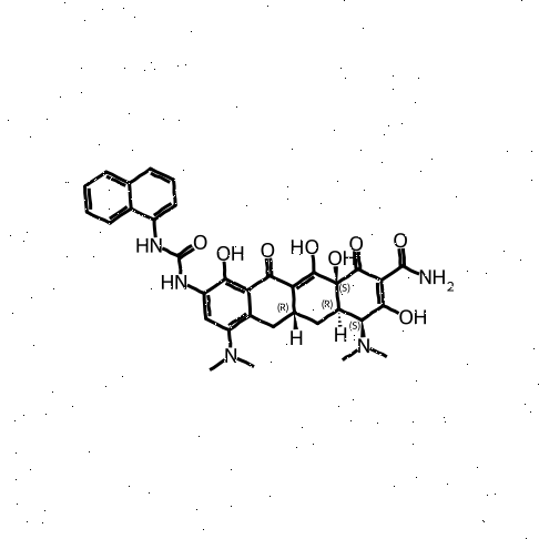 CN(C)c1cc(NC(=O)Nc2cccc3ccccc23)c(O)c2c1C[C@H]1C[C@@H]3[C@H](N(C)C)C(O)=C(C(N)=O)C(=O)[C@@]3(O)C(O)=C1C2=O